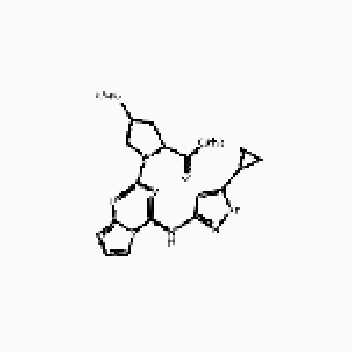 COC(=O)C1CC(OC)CN1c1nc(Nc2cc(C3CC3)[nH]n2)n2cccc2n1